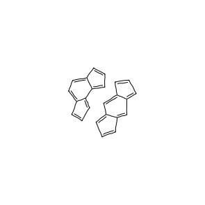 C1=Cc2cc3c(cc2=C1)C=CC=3.C1=Cc2ccc3c(c2=C1)=CC=C3